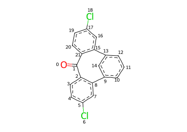 O=C1c2ccc(Cl)cc2-c2cccc(c2)-c2cc(Cl)ccc21